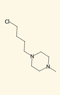 CN1CCN(CCCCCl)CC1